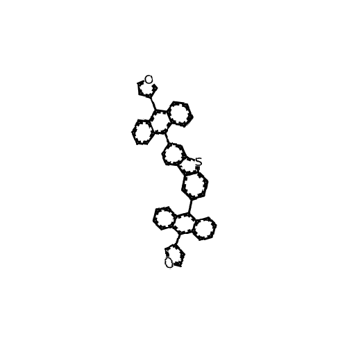 c1ccc2c(-c3ccc4c(c3)sc3ccc(-c5c6ccccc6c(-c6ccoc6)c6ccccc56)cc34)c3ccccc3c(-c3ccoc3)c2c1